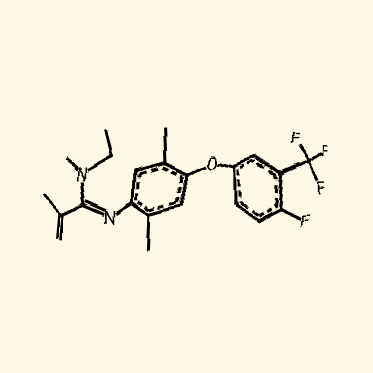 C=C(C)C(=Nc1cc(C)c(Oc2ccc(F)c(C(F)(F)F)c2)cc1C)N(C)CC